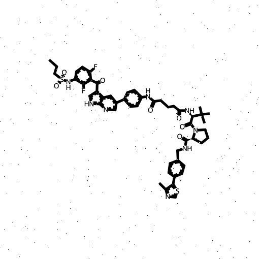 CCCS(=O)(=O)Nc1ccc(F)c(C(=O)c2c[nH]c3ncc(-c4ccc(NC(=O)CCCC(=O)N[C@H](C(=O)N5CCC[C@H]5C(=O)NCc5ccc(-c6scnc6C)cc5)C(C)(C)C)cc4)cc23)c1F